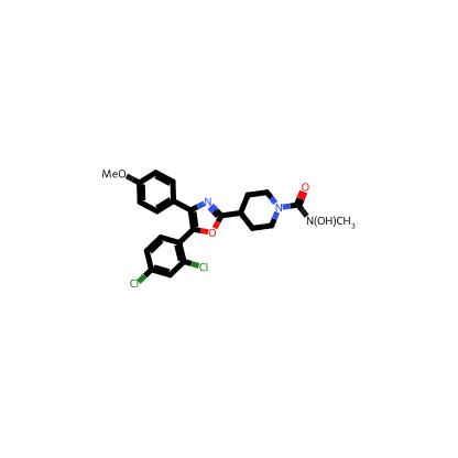 COc1ccc(-c2nc(C3CCN(C(=O)N(C)O)CC3)oc2-c2ccc(Cl)cc2Cl)cc1